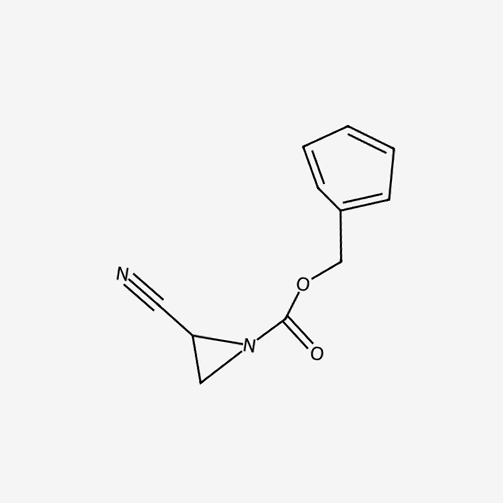 N#CC1CN1C(=O)OCc1ccccc1